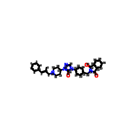 C/C(=C\c1ccccc1)CN1CCC(n2ncn(-c3ccc(CN4C(=O)c5ccccc5C4=O)cc3)c2=O)CC1